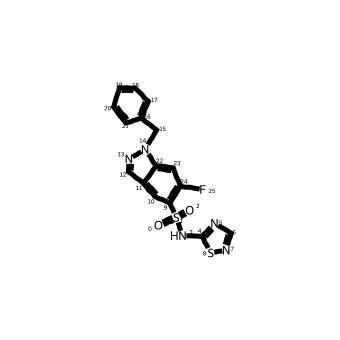 O=S(=O)(Nc1ncns1)c1cc2cnn(Cc3ccccc3)c2cc1F